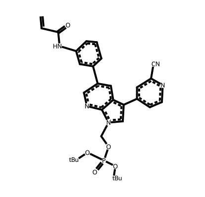 C=CC(=O)Nc1cccc(-c2cnc3c(c2)c(-c2ccnc(C#N)c2)cn3COP(=O)(OC(C)(C)C)OC(C)(C)C)c1